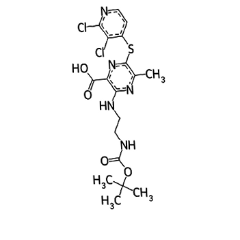 Cc1nc(NCCNC(=O)OC(C)(C)C)c(C(=O)O)nc1Sc1ccnc(Cl)c1Cl